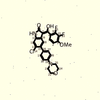 COc1ccc(/C(O)=C2/C(=O)Nc3cc(Cl)c(-c4ccc(N5CCOCC5)cc4)cc32)c(F)c1F